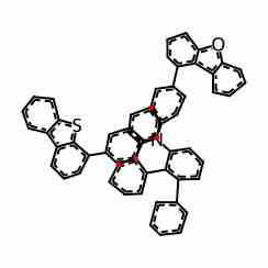 c1ccc(-c2ccccc2-c2c(-c3ccccc3)cccc2N(c2ccc(-c3cccc4c3sc3ccccc34)cc2)c2ccc(-c3cccc4oc5ccccc5c34)cc2)cc1